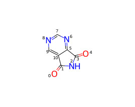 O=C1NC(=O)c2ncncc21